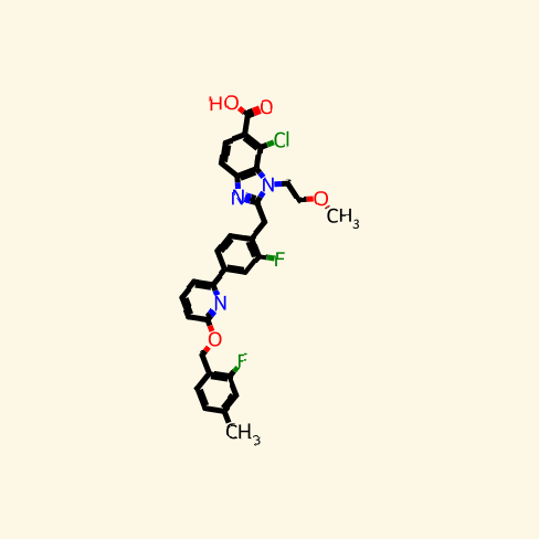 COCCn1c(Cc2ccc(-c3cccc(OCc4ccc(C)cc4F)n3)cc2F)nc2ccc(C(=O)O)c(Cl)c21